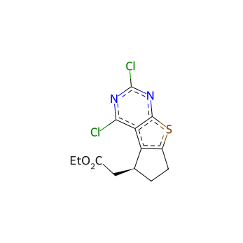 CCOC(=O)C[C@@H]1CCc2sc3nc(Cl)nc(Cl)c3c21